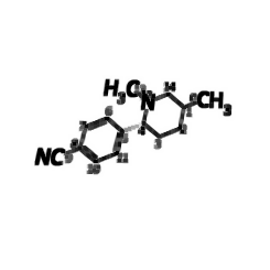 CC1CC[C@H](c2ccc(C#N)cc2)N(C)C1